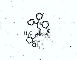 CC1=C(/C=C/C(C)=C\C[P+](c2ccccc2)(c2ccccc2)c2ccccc2)C(C)(C)CCC1.O=S(=O)([O-])O